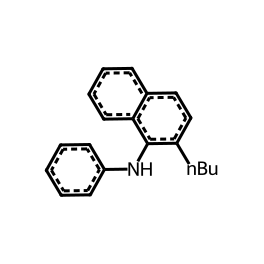 CCCCc1ccc2ccccc2c1Nc1ccccc1